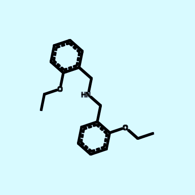 CCOc1ccccc1CNCc1ccccc1OCC